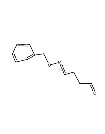 O=CCC/C=N/OCc1ccccc1